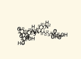 NCc1ccc(CN(CCCCCCCCN(O)C(=O)/C=C/C(=O)O)C(=S)Nc2ccc(-c3c4ccc(=O)cc-4oc4cc(O)ccc34)c(C(=O)O)c2)cc1